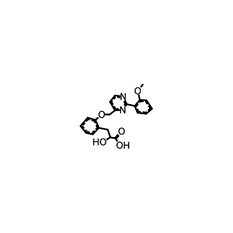 COc1ccccc1-c1nccc(COc2ccccc2CC(O)C(=O)O)n1